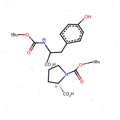 CC(C)(C)OC(=O)N1CCC[C@H]1C(=O)O.CC(C)(C)OC(=O)NC(Cc1ccc(O)cc1)C(=O)O